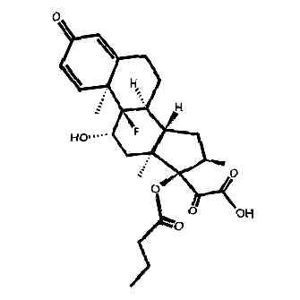 CCCC(=O)O[C@]1(C(=O)C(=O)O)[C@H](C)C[C@H]2[C@@H]3CCC4=CC(=O)C=C[C@]4(C)[C@@]3(F)[C@@H](O)C[C@@]21C